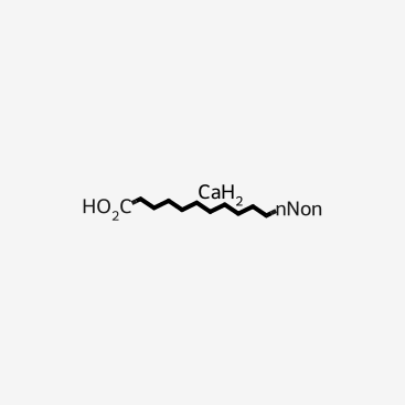 CCCCCCCCCCCCCCCCCCCC(=O)O.[CaH2]